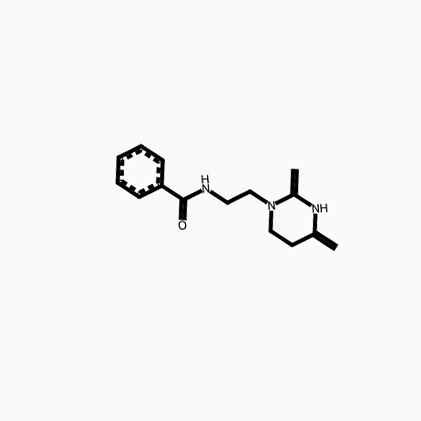 C=C1CCN(CCNC(=O)c2ccccc2)C(=C)N1